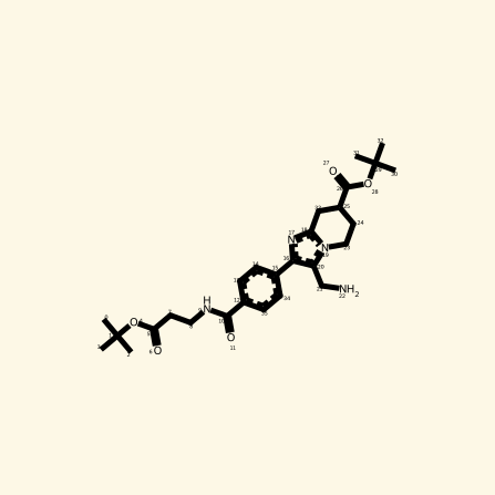 CC(C)(C)OC(=O)CCNC(=O)c1ccc(-c2nc3n(c2CN)CCC(C(=O)OC(C)(C)C)C3)cc1